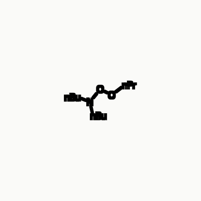 CCCCN(CCCC)OOCCC